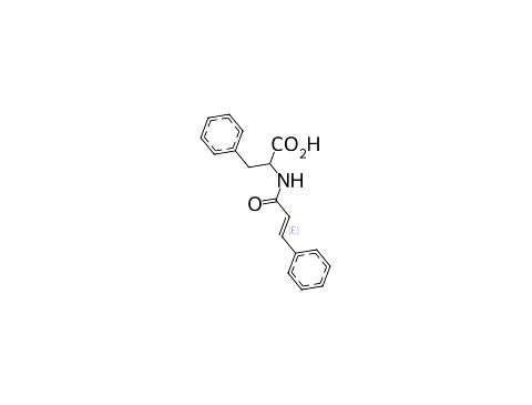 O=C(/C=C/c1ccccc1)NC(Cc1ccccc1)C(=O)O